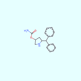 NC(=O)OC1CNC(C(c2ccccc2)c2ccccc2)C1